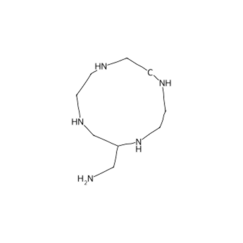 NCC1CNCCNCCNCCN1